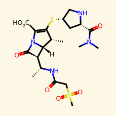 C[C@@H](NC(=O)CS(C)(=O)=O)[C@H]1C(=O)N2C(C(=O)O)=C(S[C@@H]3CN[C@H](C(=O)N(C)C)C3)[C@H](C)[C@H]12